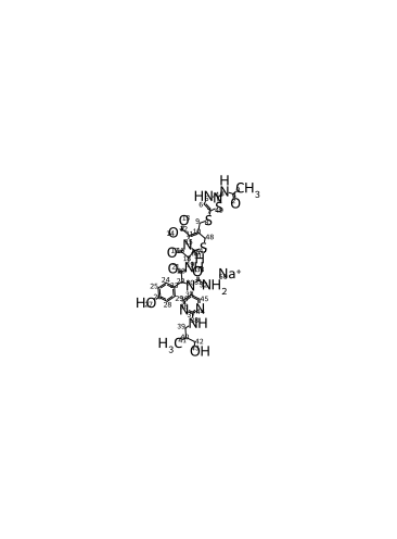 CC(=O)NN1NC=C(SCC2=C(C(=O)[O-])N3C(=O)C(NC(=O)C(c4ccc(O)cc4)N(C(N)=O)c4cnc(NCC(C)CO)nc4)[C@@H]3SC2)S1.[Na+]